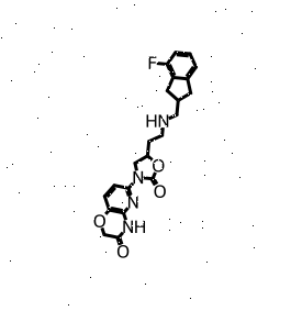 O=C1COc2ccc(N3CC(CCNCC4Cc5cccc(F)c5C4)OC3=O)nc2N1